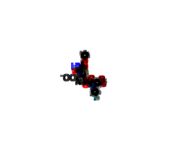 O=C(COc1ccccc1)N[C@@H]1C(=O)N2C(C(=O)[O-])=C(COC(=O)c3cn(-c4ccc(F)cc4)c4cc5c(cc4c3=O)OCO5)CS[C@H]12.[Na+]